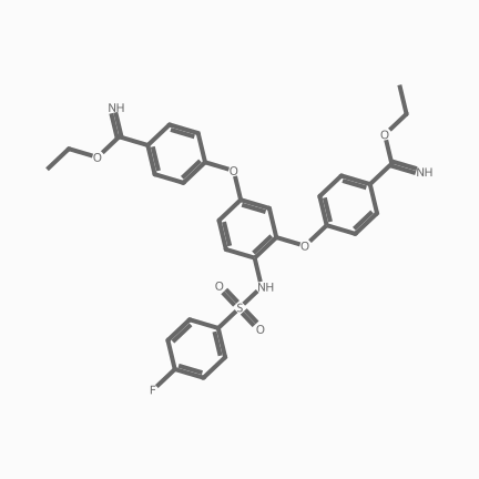 CCOC(=N)c1ccc(Oc2ccc(NS(=O)(=O)c3ccc(F)cc3)c(Oc3ccc(C(=N)OCC)cc3)c2)cc1